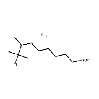 CCCCCCCCCCCCCCC(C)C(C)(C)Cl.N